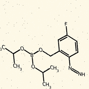 CC(C)OB(OCc1cc(F)ccc1N=N)OC(C)C